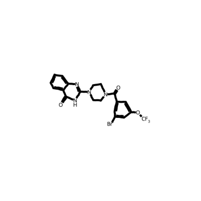 O=C(c1cc(Br)cc(OC(F)(F)F)c1)N1CCN(c2nc3ccccc3c(=O)[nH]2)CC1